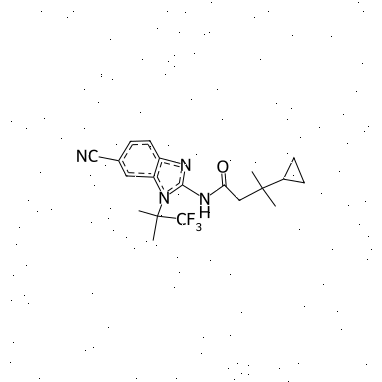 CC(C)(CC(=O)Nc1nc2ccc(C#N)cc2n1C(C)(C)C(F)(F)F)C1CC1